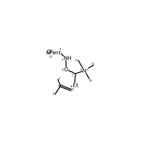 C=C(C)C.CCCCCNOC(CC)[N+](C)(C)C.[Cl-]